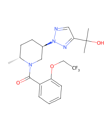 C[C@@H]1CC[C@@H](n2ncc(C(C)(C)O)n2)CN1C(=O)c1ccccc1OCC(F)(F)F